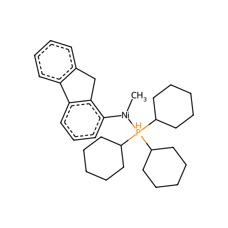 [CH3][Ni]([c]1cccc2c1Cc1ccccc1-2)[PH](C1CCCCC1)(C1CCCCC1)C1CCCCC1